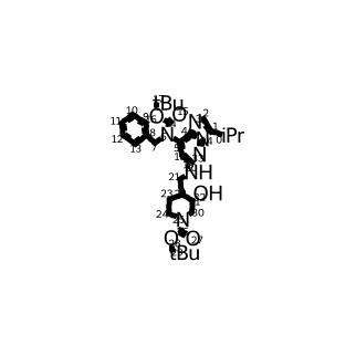 CC(C)c1cnc2c(N(Cc3ccccc3)C(=O)OC(C)(C)C)cc(NCC3CCN(C(=O)OC(C)(C)C)C[C@@H]3O)nn12